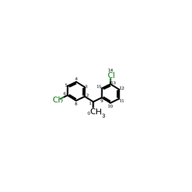 CC(c1cccc(Cl)c1)c1cccc(Cl)c1